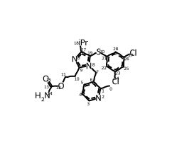 Cc1ncccc1Cn1c(CCOC(N)=O)nc(C(C)C)c1Sc1cc(Cl)cc(Cl)c1